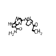 C=CC(=O)N1CCC(Nc2cnc3[nH]cc(C(N)=O)c3n2)CC1